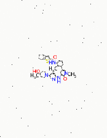 Cc1c(NC(=O)c2cc3c(s2)C2CCC3C2)cccc1-c1cc(Nc2ccc(N3CCC(C)(O)CC3)cn2)c(=O)n(C)c1